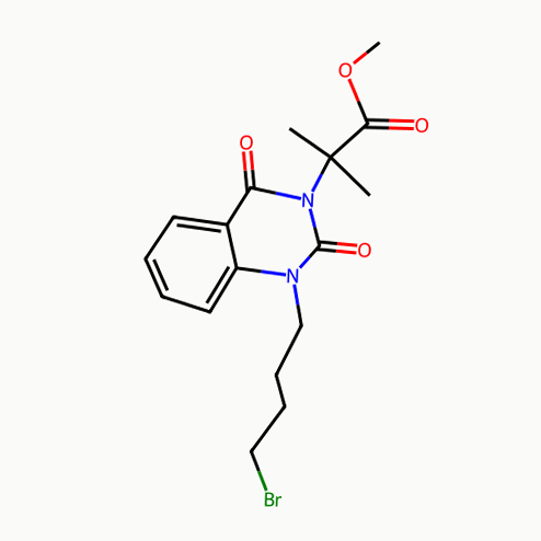 COC(=O)C(C)(C)n1c(=O)c2ccccc2n(CCCCBr)c1=O